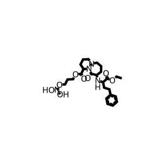 CCOC(=O)C(CCc1ccccc1)NC1CCCN2CCCC(C(=O)OCCCON(O)O)N2C1=O